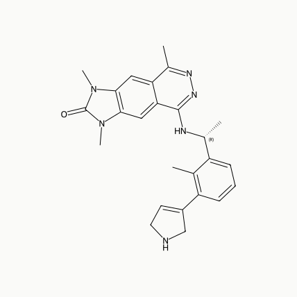 Cc1c(C2=CCNC2)cccc1[C@@H](C)Nc1nnc(C)c2cc3c(cc12)n(C)c(=O)n3C